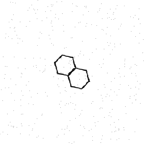 C1CCC23CCCCC2(C1)CCCC3